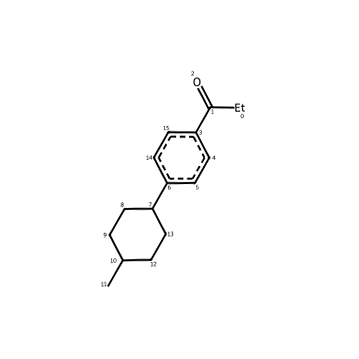 CCC(=O)c1ccc(C2CCC(C)CC2)cc1